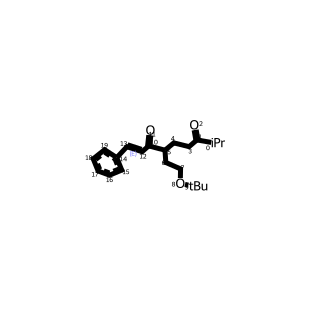 CC(C)C(=O)CCC(CCOC(C)(C)C)C(=O)/C=C/c1ccccc1